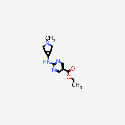 CCOC(=O)c1cnc(NC2C3CN(C)CC32)nc1